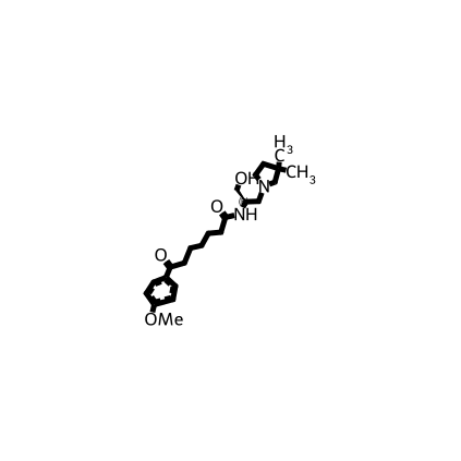 COc1ccc(C(=O)CCCCCC(=O)N[C@@H](CO)CN2CCC(C)(C)C2)cc1